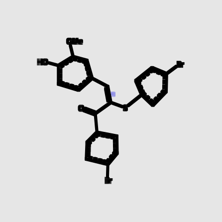 COc1cc(/C=C(/Sc2ccc(Br)cc2)C(=O)c2ccc(Br)cc2)ccc1O